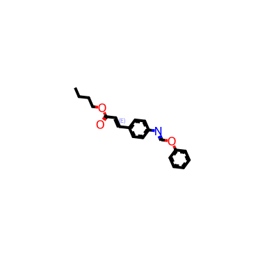 CCCCOC(=O)/C=C/c1ccc(N=COc2ccccc2)cc1